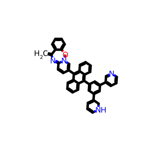 C=C1N=C2C=CC(c3c4ccccc4c(-c4cc(C5=CC=CNC5)cc(-c5cccnc5)c4)c4ccccc34)=CN2Oc2ccccc21